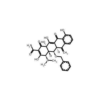 C=C1c2cccc(O)c2C(=O)C2=C(O)[C@]3(O)C(=O)C(C(N)=O)=C(O)[C@H](N(C)C)[C@H]3[C@H](OCc3ccccc3)[C@H]12